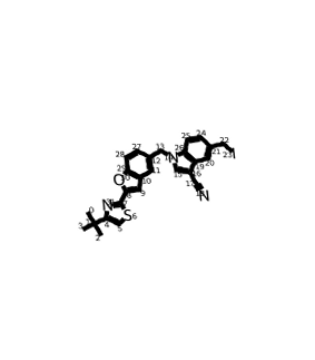 CC(C)(C)c1csc(-c2cc3cc(Cn4cc(C#N)c5cc(CI)ccc54)ccc3o2)n1